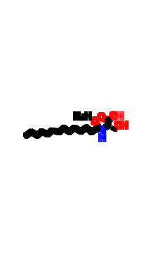 CCCCCCCCCCCCCC(=O)N[C@@H](CO)C(=O)O.[NaH]